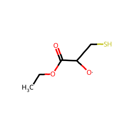 CCOC(=O)C([O])CS